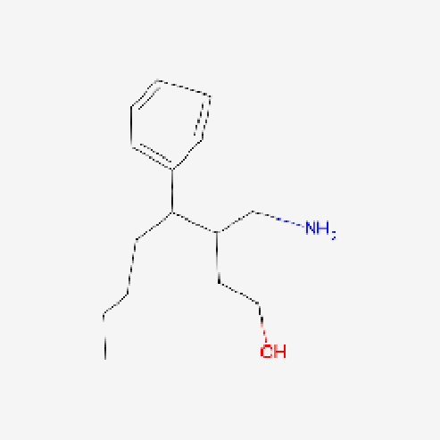 CCCCC(c1ccccc1)C(CN)CCO